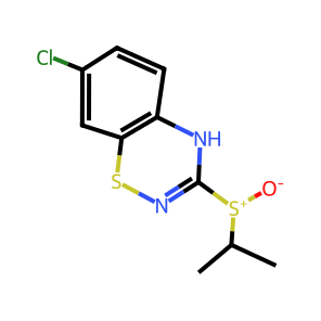 CC(C)[S+]([O-])C1=NSc2cc(Cl)ccc2N1